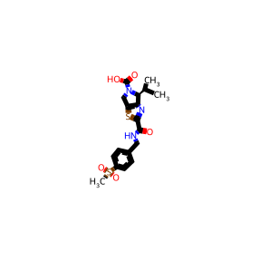 CC(C)[C@H]1c2nc(C(=O)NCc3ccc(S(C)(=O)=O)cc3)sc2CN1C(=O)O